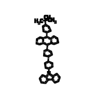 CC(C)(C)c1ccc(-c2c3ccccc3c(-c3ccc(-c4ccc(-n5c6ccccc6c6ccccc65)cc4)cc3)c3ccccc23)cc1